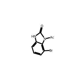 CC(=O)n1c(=O)[nH]c2cccc(Br)c21